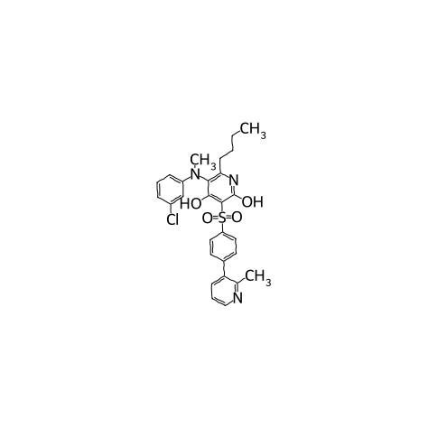 CCCCc1nc(O)c(S(=O)(=O)c2ccc(-c3cccnc3C)cc2)c(O)c1N(C)c1cccc(Cl)c1